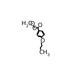 [CH2]OOC(=O)c1ccc(OCCCC)cc1